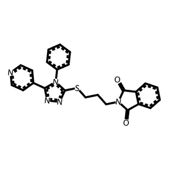 O=C1c2ccccc2C(=O)N1CCCSc1nnc(-c2ccncc2)n1-c1ccccc1